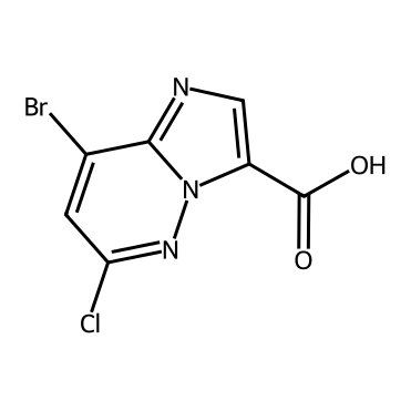 O=C(O)c1cnc2c(Br)cc(Cl)nn12